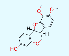 COc1ccc2c(c1OC)O[C@H]1c3ccc(O)cc3OC[C@@H]21